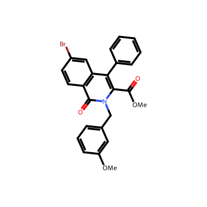 COC(=O)c1c(-c2ccccc2)c2cc(Br)ccc2c(=O)n1Cc1cccc(OC)c1